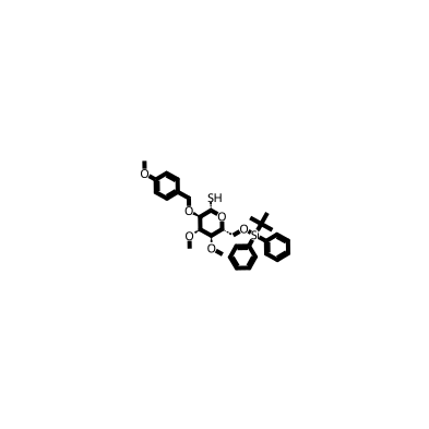 COc1ccc(CO[C@@H]2[C@@H](OC)[C@@H](OC)[C@@H](CO[Si](c3ccccc3)(c3ccccc3)C(C)(C)C)O[C@H]2S)cc1